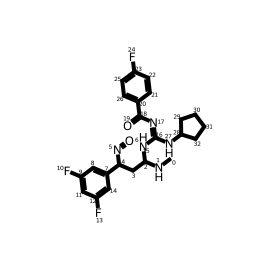 CNC(CC(N=O)c1cc(F)cc(F)c1)N/C(=N\C(=O)c1ccc(F)cc1)NC1CCCC1